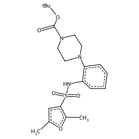 Cc1cc(S(=O)(=O)Nc2ccccc2N2CCN(C(=O)OC(C)(C)C)CC2)c(C)o1